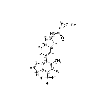 Cc1c(F)c(C(F)(F)F)c2[nH]ncc2c1-c1ccn2nc(NC(=O)[C@@H]3C[C@@H]3F)cc2c1